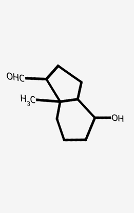 CC12CCCC(O)C1CCC2C=O